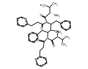 CC(C)[C@H](N)C(=O)N(C(=O)CCc1ccccn1)C(Cc1ccccc1)C(O)C(Cc1ccccc1)N(C(=O)CCc1ccccn1)C(=O)[C@@H](N)C(C)C